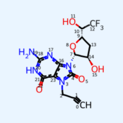 C#CCn1c(=O)n([C@@H]2O[C@H](C(O)C(F)(F)F)C[C@H]2O)c2nc(N)[nH]c(=O)c21